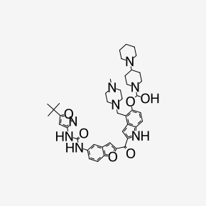 CN1CCN(Cc2c(OC(O)N3CCC(N4CCCCC4)CC3)ccc3[nH]c(C(=O)c4cc5cc(NC(=O)Nc6cc(C(C)(C)C)on6)ccc5o4)cc23)CC1